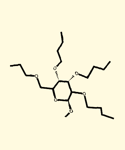 CCCCOC1[C@@H](OC)OC(COCCC)[C@H](OCCCC)[C@@H]1OCCCC